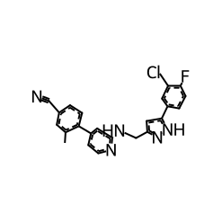 Cc1cc(C#N)ccc1-c1ccnc(NCc2cc(-c3ccc(F)c(Cl)c3)[nH]n2)c1